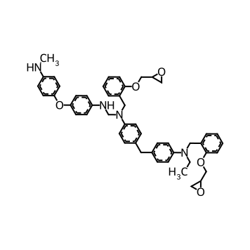 CCN(Cc1ccccc1OCC1CO1)c1ccc(Cc2ccc(N(CNc3ccc(Oc4ccc(NC)cc4)cc3)Cc3ccccc3OCC3CO3)cc2)cc1